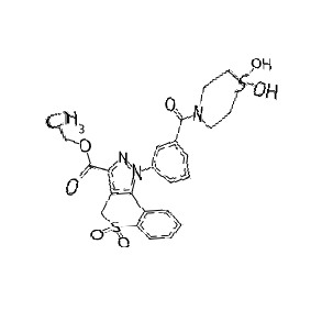 CCOC(=O)c1nn(-c2cccc(C(=O)N3CCS(O)(O)CC3)c2)c2c1CS(=O)(=O)c1ccccc1-2